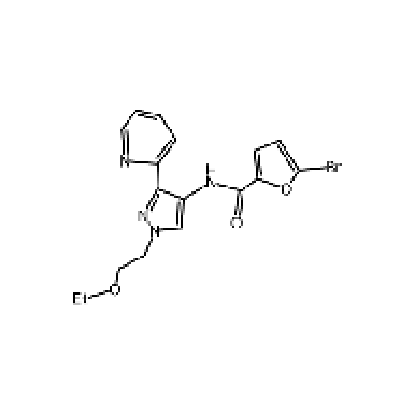 CCOCCn1cc(NC(=O)c2ccc(Br)o2)c(-c2ccccn2)n1